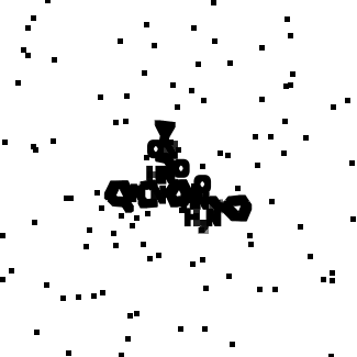 Cc1ccccc1N1CCN(c2ccc(C(=O)NC[C@@H](N)c3ccccc3)cc2NC(=O)c2coc(C3CC3)n2)CC1